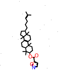 CC(C)=CCCCC1CCC2(C)C3=C(CCC12C)C1(C)CCC(OC(=O)c2ccno2)C(C)(C)C1CC3